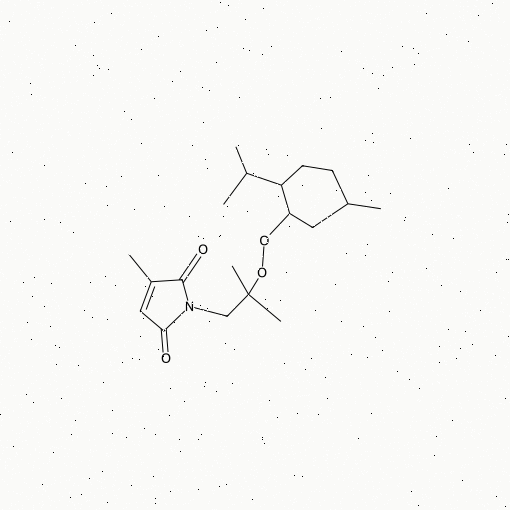 CC1=CC(=O)N(CC(C)(C)OOC2CC(C)CCC2C(C)C)C1=O